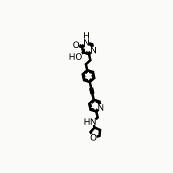 O=c1[nH]cnc(CCc2ccc(C#Cc3ccc(CNC4CCOC4)nc3)cc2)c1O